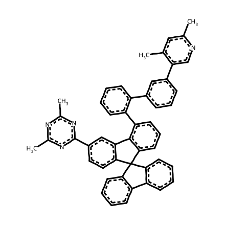 Cc1cc(C)c(-c2cccc(-c3ccccc3-c3cccc4c3-c3cc(-c5nc(C)nc(C)n5)ccc3C43c4ccccc4-c4ccccc43)c2)cn1